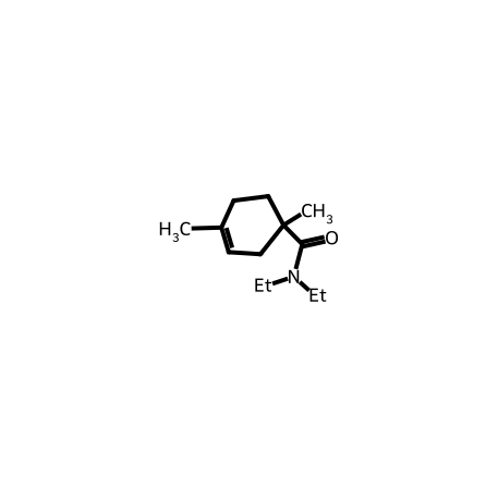 CCN(CC)C(=O)C1(C)CC=C(C)CC1